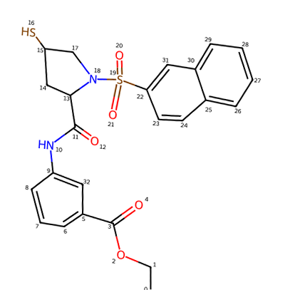 CCOC(=O)c1cccc(NC(=O)C2CC(S)CN2S(=O)(=O)c2ccc3ccccc3c2)c1